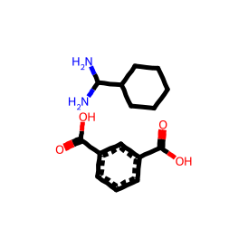 NC(N)C1CCCCC1.O=C(O)c1cccc(C(=O)O)c1